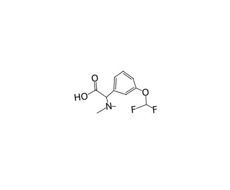 CN(C)C(C(=O)O)c1cccc(OC(F)F)c1